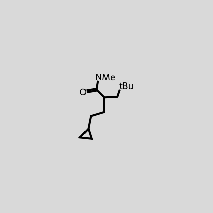 CNC(=O)C(CCC1CC1)CC(C)(C)C